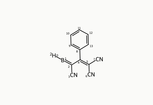 [2H]B=C(C#N)C(=C(C#N)C#N)c1ccccc1